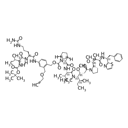 C#CCOCc1cc(NC(=O)[C@H](CCCNC(N)=O)NC(=O)[C@@H](NC(=O)OC(C)(C)C)C(C)C)ccc1COC(=O)N1[C@@H]2CC[C@@H](C2)[C@H]1C(=O)N[C@H](C(=O)N(C)[C@@H]([C@@H](C)CC)[C@@H](CC(=O)N1CCC[C@H]1[C@H](OC)[C@@H](C)C(=O)N[C@@H](Cc1ccccc1)c1nccs1)OC)C(C)C